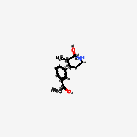 COC(=O)c1cccc([C@H]2CCNC(=O)[C@@H]2C)c1